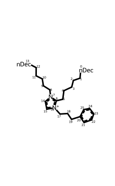 CCCCCCCCCCCCCCCc1n(CCCCCCCCCCCCCCC)cc[n+]1CCCc1ccccc1